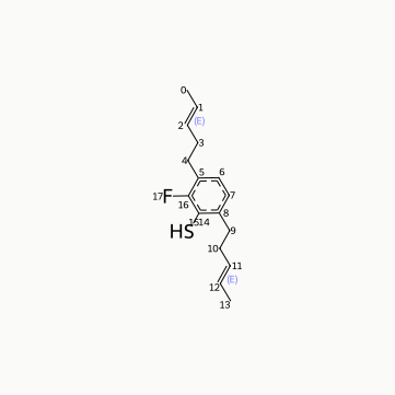 C/C=C/CCc1ccc(CC/C=C/C)c(S)c1F